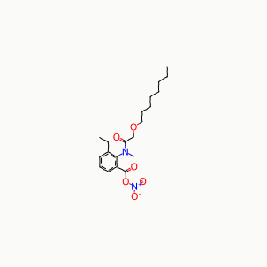 CCCCCCCCOCC(=O)N(C)c1c(CC)cccc1C(=O)O[N+](=O)[O-]